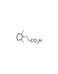 Cc1cccc(C)c1CCC(=O)O